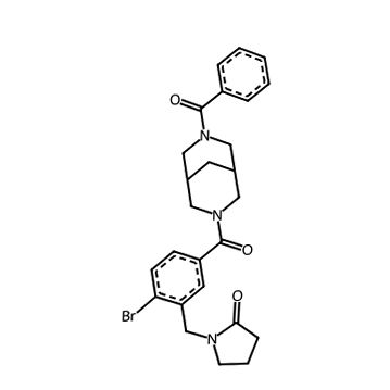 O=C1CCCN1Cc1cc(C(=O)N2CC3CC(CN(C(=O)c4ccccc4)C3)C2)ccc1Br